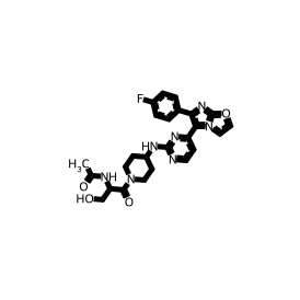 CC(=O)NC(CO)C(=O)N1CCC(Nc2nccc(-c3c(-c4ccc(F)cc4)nc4occn34)n2)CC1